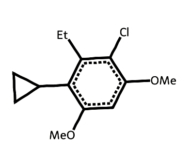 CCc1c(Cl)c(OC)cc(OC)c1C1CC1